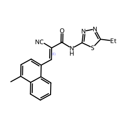 CCc1nnc(NC(=O)/C(C#N)=C/c2ccc(C)c3ccccc23)s1